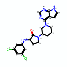 O=C1C(Nc2cc(Cl)cc(Cl)c2)CCN1C1CCCN(c2ncnc3[nH]ccc23)C1